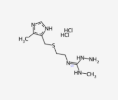 CN/C(=N/CCSCc1[nH]cnc1C)NN.Cl.Cl